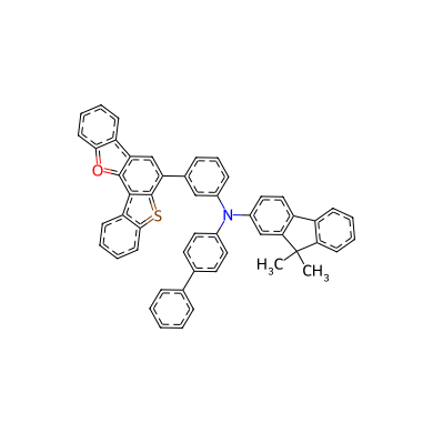 CC1(C)c2ccccc2-c2ccc(N(c3ccc(-c4ccccc4)cc3)c3cccc(-c4cc5c6ccccc6oc5c5c4sc4ccccc45)c3)cc21